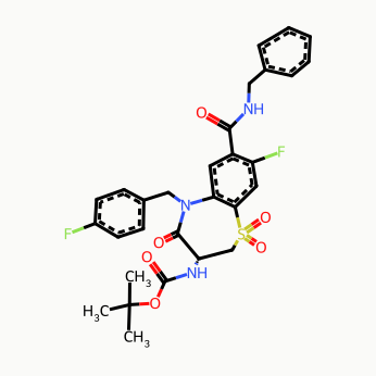 CC(C)(C)OC(=O)N[C@H]1CS(=O)(=O)c2cc(F)c(C(=O)NCc3ccccc3)cc2N(Cc2ccc(F)cc2)C1=O